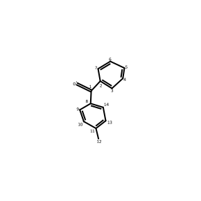 [CH]=C(c1ccccc1)c1ccc(C)cc1